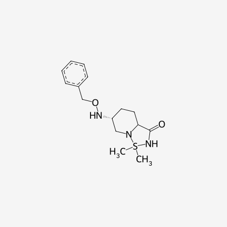 CS1(C)NC(=O)C2CC[C@@H](NOCc3ccccc3)CN21